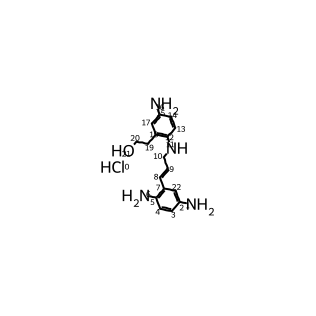 Cl.Nc1ccc(N)c(/C=C/CNc2ccc(N)cc2CCO)c1